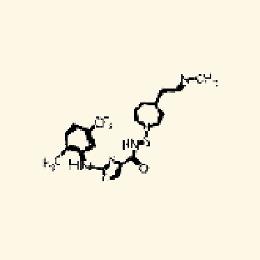 C/N=C/CC1CCCN(SNC(=O)c2coc(Nc3cc(C(F)(F)F)ccc3C)n2)CC1